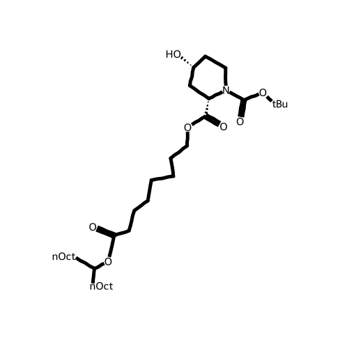 CCCCCCCCC(CCCCCCCC)OC(=O)CCCCCCCOC(=O)[C@@H]1C[C@H](O)CCN1C(=O)OC(C)(C)C